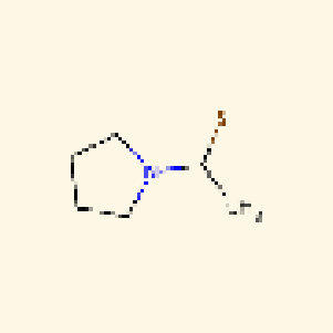 CC([S])N1CCCC1